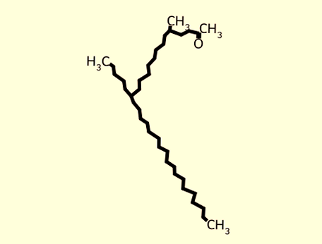 CCCCCCCCCCCCCCCCCCC(CCCCC)CCCCCCCCC(C)CCC(C)=O